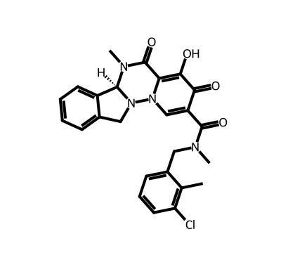 Cc1c(Cl)cccc1CN(C)C(=O)c1cn2c(c(O)c1=O)C(=O)N(C)[C@@H]1c3ccccc3CN12